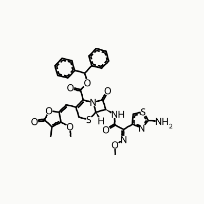 CO/N=C(\C(=O)N[C@@H]1C(=O)N2C(C(=O)OC(c3ccccc3)c3ccccc3)=C(/C=C3/OC(=O)C(C)=C3OC)CS[C@@H]12)c1csc(N)n1